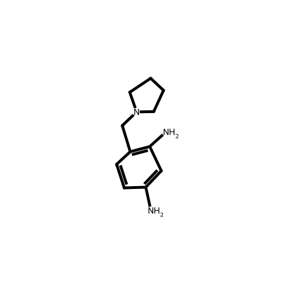 Nc1ccc(CN2CCCC2)c(N)c1